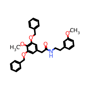 COc1cccc(CCNC(=O)Cc2cc(OCc3ccccc3)c(OC)c(OCc3ccccc3)c2)c1